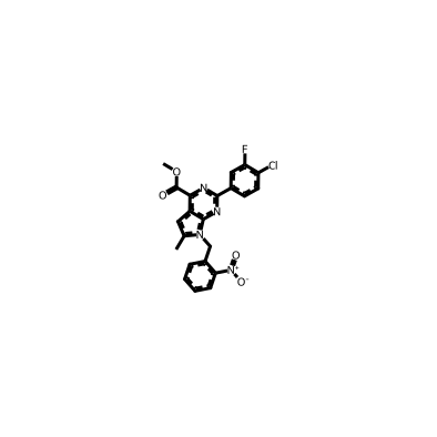 COC(=O)c1nc(-c2ccc(Cl)c(F)c2)nc2c1cc(C)n2Cc1ccccc1[N+](=O)[O-]